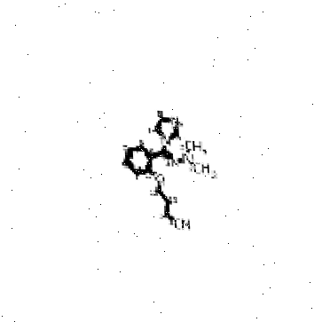 CN(C)N=C(c1ccccc1OCCCC#N)n1ccnc1